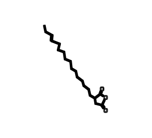 CCC=CCCCCCCCCCCCCC1CC(=O)OC1=O